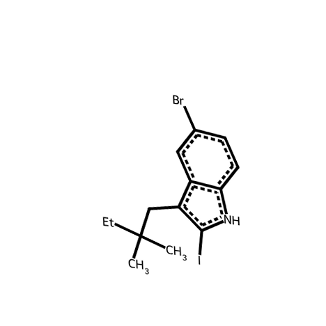 CCC(C)(C)Cc1c(I)[nH]c2ccc(Br)cc12